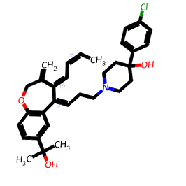 C=C1COc2ccc(C(C)(C)O)cc2C(=C/CCN2CCC(O)(c3ccc(Cl)cc3)CC2)/C1=C/C=C\C